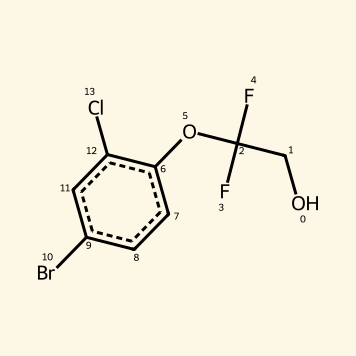 OCC(F)(F)Oc1ccc(Br)cc1Cl